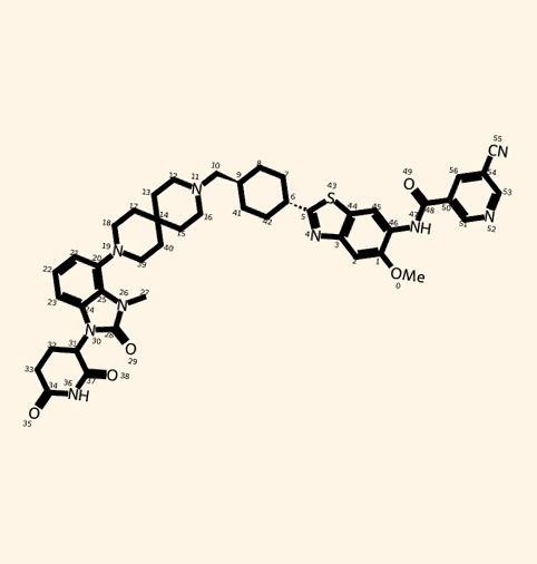 COc1cc2nc([C@H]3CC[C@H](CN4CCC5(CC4)CCN(c4cccc6c4n(C)c(=O)n6C4CCC(=O)NC4=O)CC5)CC3)sc2cc1NC(=O)c1cncc(C#N)c1